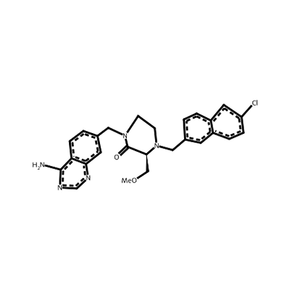 COC[C@H]1C(=O)N(Cc2ccc3c(N)ncnc3c2)CCN1Cc1ccc2cc(Cl)ccc2c1